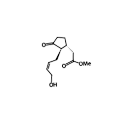 COC(=O)C[C@H]1CCC(=O)[C@@H]1C/C=C\CO